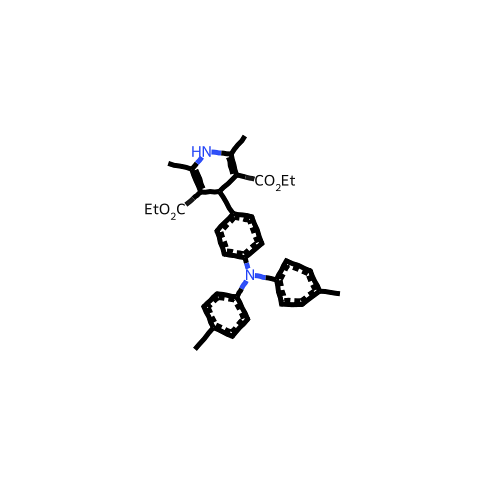 CCOC(=O)C1=C(C)NC(C)=C(C(=O)OCC)C1c1ccc(N(c2ccc(C)cc2)c2ccc(C)cc2)cc1